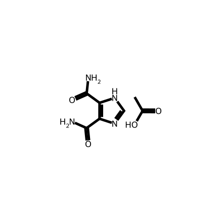 CC(=O)O.NC(=O)c1nc[nH]c1C(N)=O